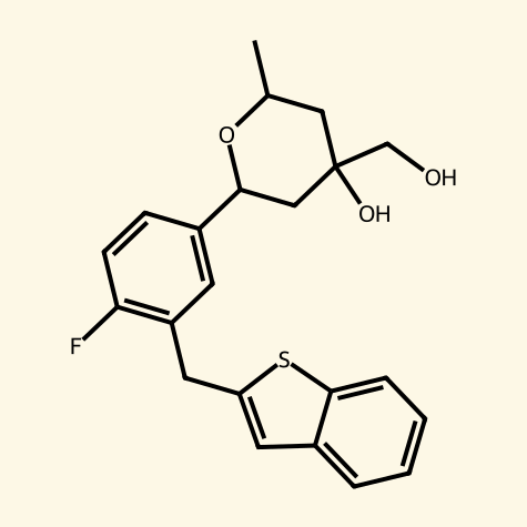 CC1CC(O)(CO)CC(c2ccc(F)c(Cc3cc4ccccc4s3)c2)O1